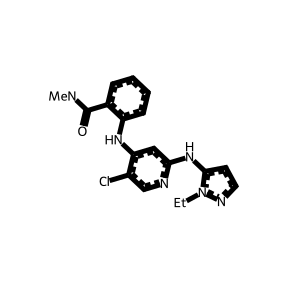 CCn1nccc1Nc1cc(Nc2ccccc2C(=O)NC)c(Cl)cn1